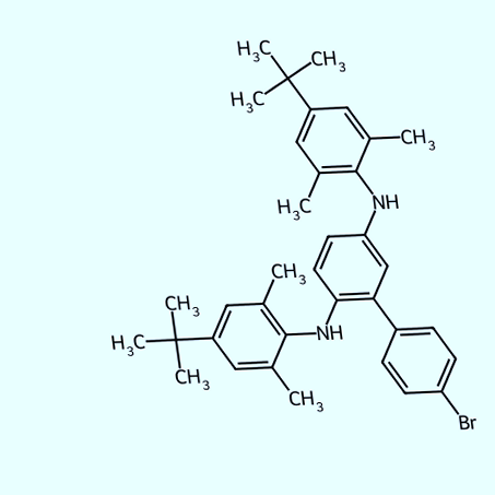 Cc1cc(C(C)(C)C)cc(C)c1Nc1ccc(Nc2c(C)cc(C(C)(C)C)cc2C)c(-c2ccc(Br)cc2)c1